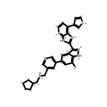 Fc1cc(-c2cncc(CNCC3CCCC3)c2)cc2c(-c3nc4c(-c5ccsc5)ccnc4[nH]3)n[nH]c12